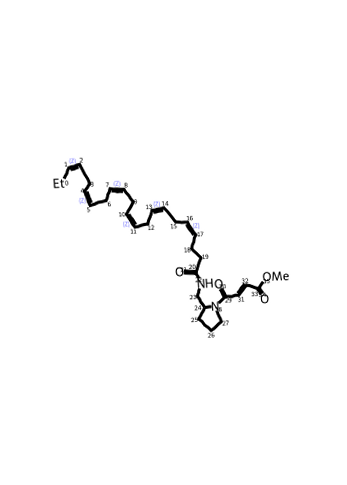 CC/C=C\C/C=C\C/C=C\C/C=C\C/C=C\C/C=C\CCC(=O)NCC1CCCN1C(=O)C=CC(=O)OC